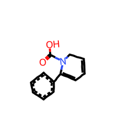 O=C(O)N1CC=CC=C1c1ccccc1